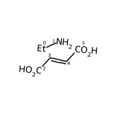 CCN.O=C(O)C=CC(=O)O